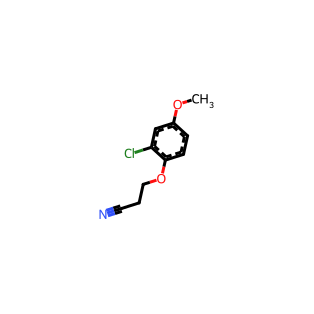 COc1ccc(OCCC#N)c(Cl)c1